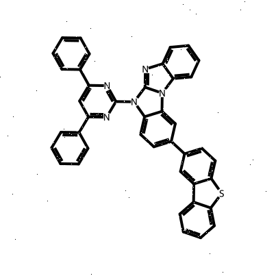 c1ccc(-c2cc(-c3ccccc3)nc(-n3c4ccc(-c5ccc6sc7ccccc7c6c5)cc4n4c5ccccc5nc34)n2)cc1